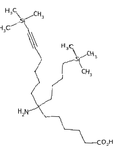 C[Si](C)(C)C#CCCCCC(N)(CCCCCC(=O)O)CCCC[Si](C)(C)C